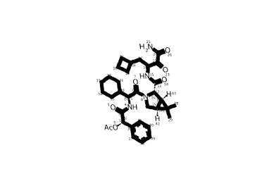 CC(=O)O[C@H](C(=O)N[C@H](C(=O)N1C[C@H]2[C@@H]([C@H]1C(=O)NC(CC1CCC1)C(=O)C(N)=O)C2(C)C)C1CCCCC1)c1ccccc1